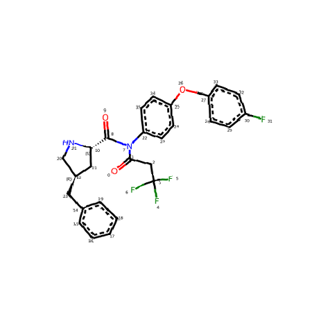 O=C(CC(F)(F)F)N(C(=O)[C@@H]1C[C@@H](Cc2ccccc2)CN1)c1ccc(Oc2ccc(F)cc2)cc1